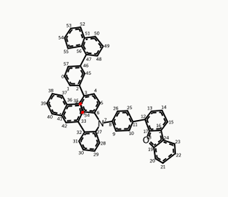 c1cc(-c2ccc(N(c3ccc(-c4cccc5c4oc4ccccc45)cc3)c3ccccc3-c3ccc4ccccc4c3)cc2)cc(-c2cccc3ccccc23)c1